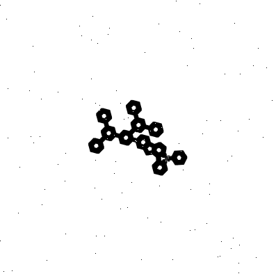 c1ccc(-c2cc(-c3ccccc3)cc(-c3ccc(-c4ccc5c(c4)Cc4c-5ccc5c4c4ccccc4n5-c4ccccc4)c(-c4cc(-c5ccccc5)cc(-c5ccccc5)c4)c3)c2)cc1